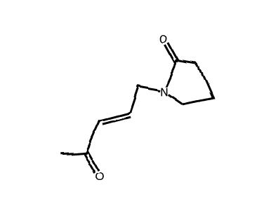 CC(=O)/C=C/CN1CCCC1=O